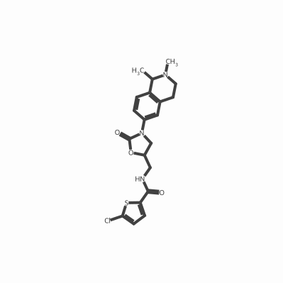 CC1c2ccc(N3CC(CNC(=O)c4ccc(Cl)s4)OC3=O)cc2CCN1C